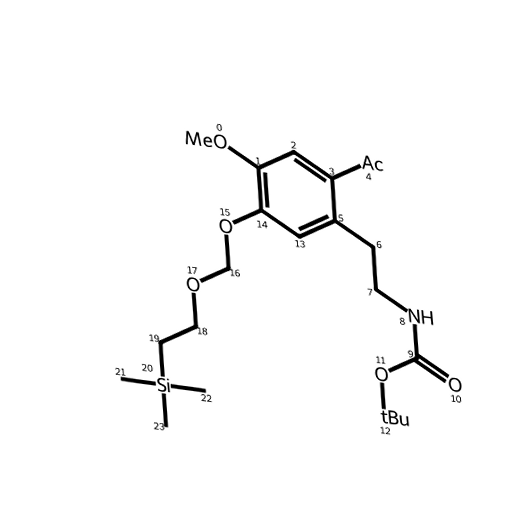 COc1cc(C(C)=O)c(CCNC(=O)OC(C)(C)C)cc1OCOCC[Si](C)(C)C